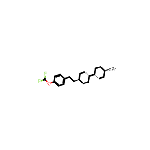 CCC[C@H]1CC[C@H]([C@H]2CC[C@H](CCc3ccc(OC(F)F)cc3)CC2)CC1